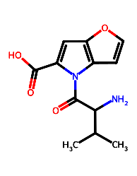 CC(C)C(N)C(=O)n1c(C(=O)O)cc2occc21